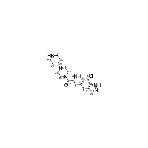 NC(Cc1cc(Cl)c2[nH]ncc2c1)C(=O)N1CCN(C2CCNCC2)CC1